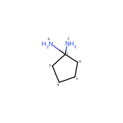 NC1(N)C[CH]CC1